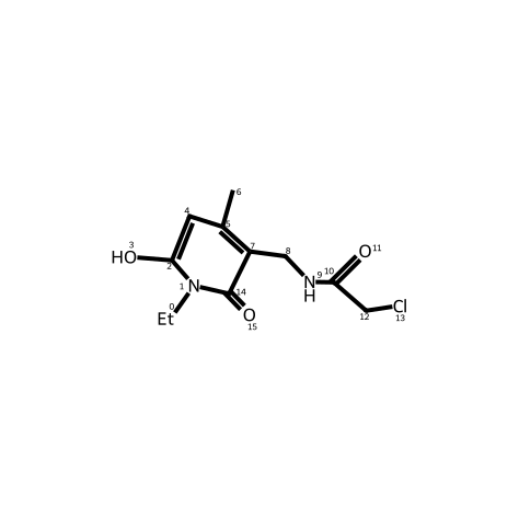 CCn1c(O)cc(C)c(CNC(=O)CCl)c1=O